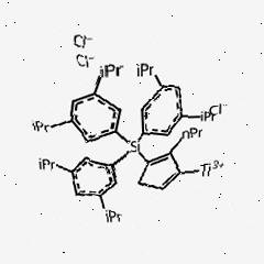 CCCC1=C([Si](c2cc(C(C)C)cc(C(C)C)c2)(c2cc(C(C)C)cc(C(C)C)c2)c2cc(C(C)C)cc(C(C)C)c2)CC=[C]1[Ti+3].[Cl-].[Cl-].[Cl-]